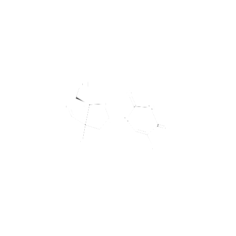 Cc1cn([C@@H]2CC(C)(C=O)[C@@H](CO)O2)c(=O)[nH]c1=O